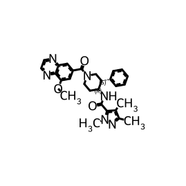 COc1cc(C(=O)N2CC[C@@H](NC(=O)c3c(C)c(C)nn3C)[C@@H](c3ccccc3)C2)cc2nccnc12